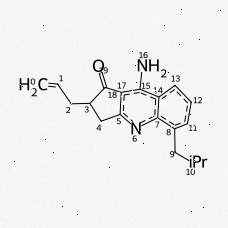 C=CCC1Cc2nc3c(CC(C)C)cccc3c(N)c2C1=O